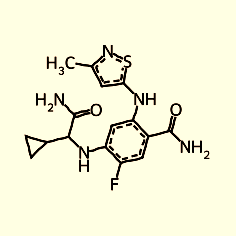 Cc1cc(Nc2cc(NC(C(N)=O)C3CC3)c(F)cc2C(N)=O)sn1